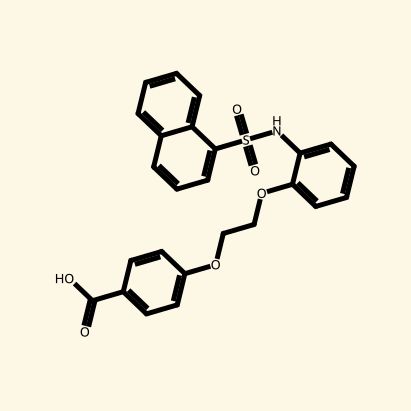 O=C(O)c1ccc(OCCOc2ccccc2NS(=O)(=O)c2cccc3ccccc23)cc1